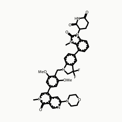 COc1cc(-c2cn(C)c(=O)c3cnc(N4CCOCC4)cc23)cc(OC)c1CN1CC(F)(F)c2cc(-c3cccc4c3n(C)c(=O)n4C3CCC(=O)NC3=O)ccc21